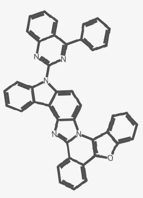 c1ccc(-c2nc(-n3c4ccccc4c4c5nc6c7ccccc7c7oc8ccccc8c7n6c5ccc43)nc3ccccc23)cc1